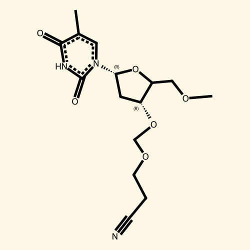 COCC1O[C@@H](n2cc(C)c(=O)[nH]c2=O)C[C@H]1OCOCCC#N